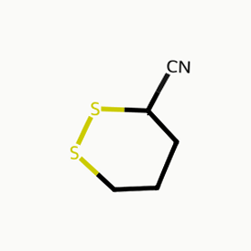 N#C[C]1CCCSS1